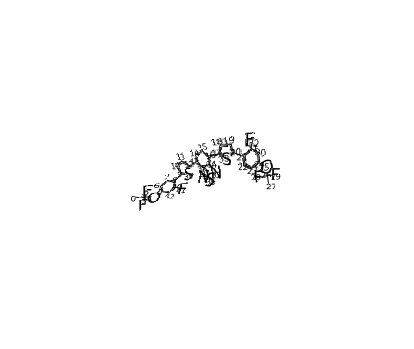 CC(F)(F)Oc1ccc(-c2ccc(-c3ccc(-c4ccc(-c5ccc(OC(C)(F)F)cc5F)s4)c4nsnc34)s2)c(F)c1